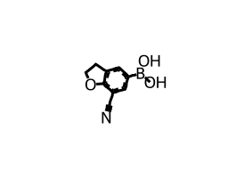 N#Cc1cc(B(O)O)cc2c1OCC2